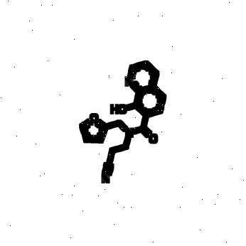 N#CCCN(Cc1ccco1)C(=O)c1ccc2cccnc2c1O